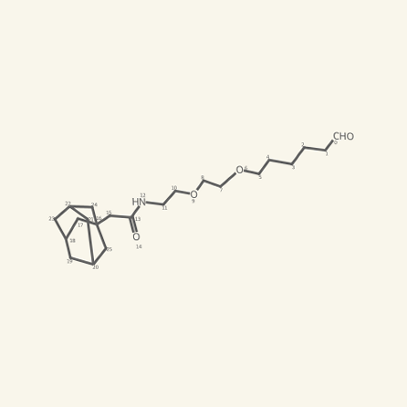 O=CCCCCCOCCOCCNC(=O)CC12CC3CC(CC(C3)C1)C2